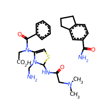 CN(C)CC(=O)NC1SC=C(N(CC(=O)O)C(=O)c2ccccc2)N1CN.NC(=O)c1ccc2c(c1)CCC2